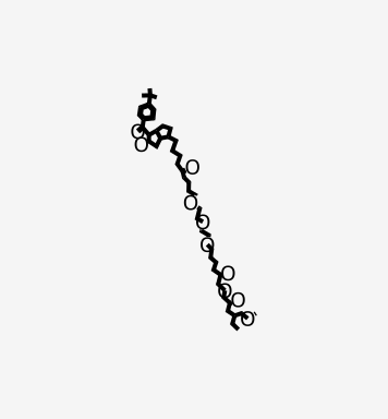 CCC(COC)CC(=O)COCC(=O)CCCCOCCOCCOCCCCC(=O)CCCCC1CCC2C(C(=O)c3ccc(C(C)(C)C)cc3)C(=O)CC12